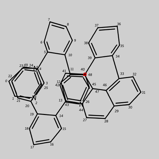 c1cncc(-c2ccccc2-c2cc(-c3ccccc3-c3cccnc3)c3ccc4cccc(-c5ccccc5-c5cccnc5)c4c3c2)c1